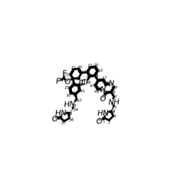 O=C1CC[C@H](CNCc2cnc3cc(-c4cccc(C5=CC=CC(OC(F)F)(c6ccc(CNC[C@@H]7CCC(=O)N7)cc6)C5Cl)c4Cl)ccn3c2=O)N1